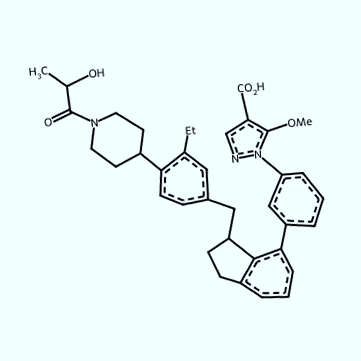 CCc1cc(CC2CCc3cccc(-c4cccc(-n5ncc(C(=O)O)c5OC)c4)c32)ccc1C1CCN(C(=O)C(C)O)CC1